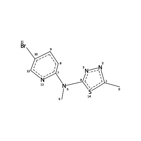 Cc1nnc(N(C)c2ccc(Br)cn2)s1